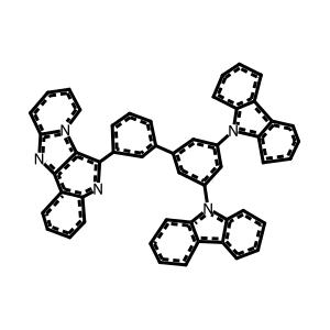 c1cc(-c2cc(-n3c4ccccc4c4ccccc43)cc(-n3c4ccccc4c4ccccc43)c2)cc(-c2nc3ccccc3c3nc4ccccn4c23)c1